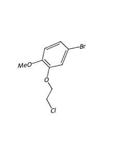 COc1ccc(Br)cc1OCCCl